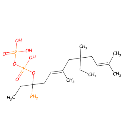 CCC(C)(CC=C(C)C)C/C(C)=C/CC(P)(CC)OP(=O)(O)OP(=O)(O)O